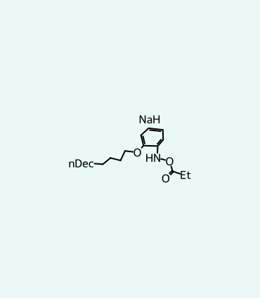 CCCCCCCCCCCCCCOc1ccccc1NOC(=O)CC.[NaH]